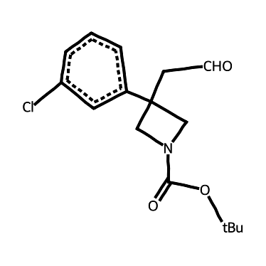 CC(C)(C)OC(=O)N1CC(CC=O)(c2cccc(Cl)c2)C1